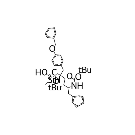 C[SiH](C)OC(Cc1ccc(OCc2ccccc2)cc1)(C[C@H]([C@H](Cc1ccccc1)NC(=O)OC(C)(C)C)C(C)(C)C)C(=O)O